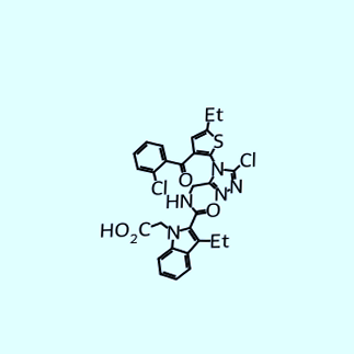 CCc1cc(C(=O)c2ccccc2Cl)c(-n2c(Cl)nnc2CNC(=O)c2c(CC)c3ccccc3n2CC(=O)O)s1